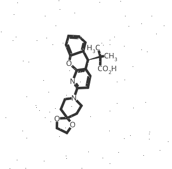 CC(C)(C(=O)O)[C@@H]1c2ccccc2Oc2nc(N3CCC4(CC3)OCCO4)ccc21